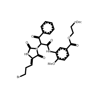 CCCCCCCCCCCCOC(=O)c1ccc(OC)c(NC(=O)C(C(=O)c2ccccc2)N2C(=O)NC(=CCCBr)C2=O)c1